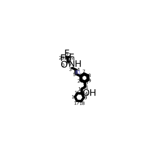 O=C(NC/C=C/c1cccc(CCC2(O)CCCCC2)c1)C(F)(F)F